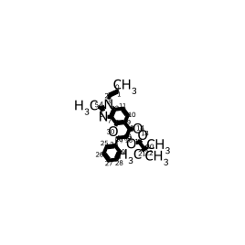 CC=Cn1c(C)nc2c3c(ccc21)C(=O)[C@H](OC(=O)C(C)(C)C)[C@@H](c1ccccc1)O3